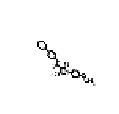 COc1ccc(N2CC(O)=C(C(=O)Nc3ccc(C4CCCCC4)cc3)C2=O)cc1